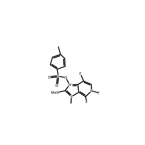 CSC1=S(C)C2=C(F)N(F)C=C(F)C2=[N+]1OS(=O)(=O)c1ccc(C)cc1